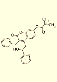 CN(C)C(=O)Oc1ccc2c(CC(O)c3ccccn3)c(Cc3ccccc3)c(=O)oc2c1